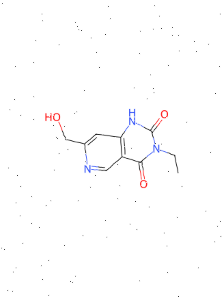 CCn1c(=O)[nH]c2cc(CO)ncc2c1=O